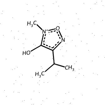 CC(C)c1no[n+](C)c1O